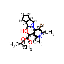 Cc1nc(C)c(C(O)C(=O)OC(C)C)c(N2CC3CCCC3C2)c1Br